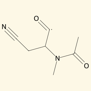 CC(=O)N(C)C([C]=O)CC#N